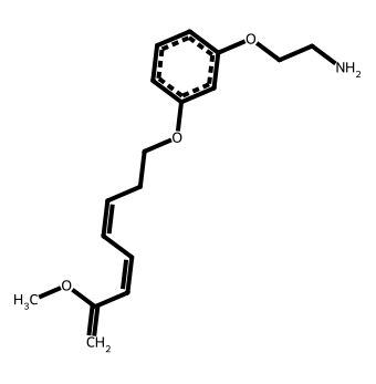 C=C(/C=C\C=C/CCOc1cccc(OCCN)c1)OC